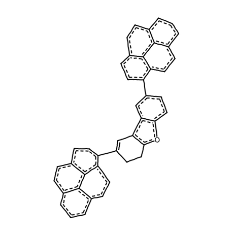 C1=C(c2ccc3ccc4cccc5ccc2c3c45)CCc2oc3ccc(-c4ccc5ccc6cccc7ccc4c5c67)cc3c21